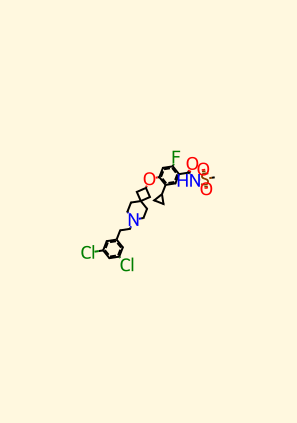 CS(=O)(=O)NC(=O)c1cc(C2CC2)c(OC2CC3(CCN(CCc4cc(Cl)cc(Cl)c4)CC3)C2)cc1F